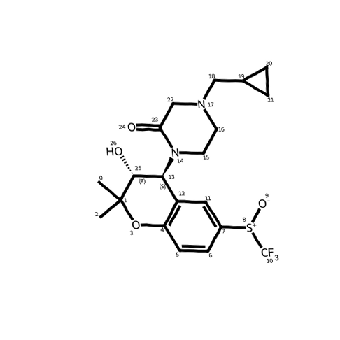 CC1(C)Oc2ccc([S+]([O-])C(F)(F)F)cc2[C@H](N2CCN(CC3CC3)CC2=O)[C@H]1O